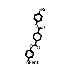 CCCCCc1ccc(OC(=O)C2CCC(C(=O)Oc3ccc(CCCC)cc3)CC2)cc1